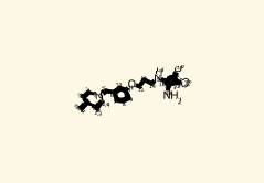 CC1CCN(Cc2cccc(OCCCNc3c(N)c(=O)c3=O)c2)CC1